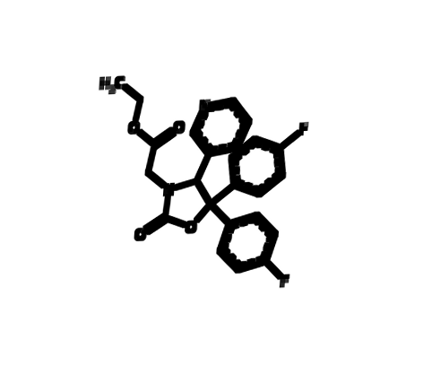 CCOC(=O)CN1C(=O)OC(c2ccc(F)cc2)(c2ccc(F)cc2)C1c1cccnc1